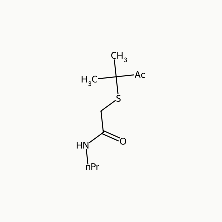 CCCNC(=O)CSC(C)(C)C(C)=O